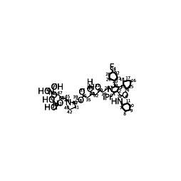 CC(C)c1c(C(=O)Nc2ccccc2)c(-c2ccccc2)c(-c2ccc(F)cc2)n1CC[C@@H](O)C[C@@H](O)CC(=O)OC[C@@H]1CCCN1C[C@H](CON(O)O)ON(O)O